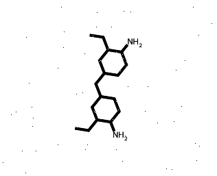 CCC1CC(CC2CCC(N)C(CC)C2)CCC1N